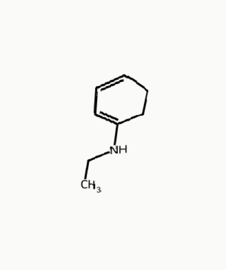 CCNC1=CC=CCC1